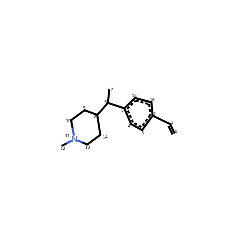 C=Cc1ccc(C(C)C2CCN(C)CC2)cc1